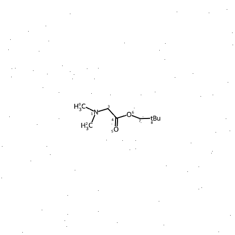 CN(C)CC(=O)OCC(C)(C)C